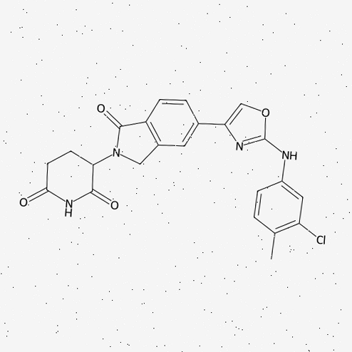 Cc1ccc(Nc2nc(-c3ccc4c(c3)CN(C3CCC(=O)NC3=O)C4=O)co2)cc1Cl